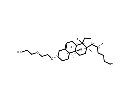 CC(C)CCC[C@@H](C)[C@H]1CC[C@H]2[C@@H]3CC=C4C[C@@H](OCCOCCN)CC[C@]4(C)[C@H]3CC[C@]12C